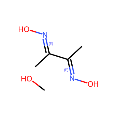 CC(=N\O)/C(C)=N/O.CO